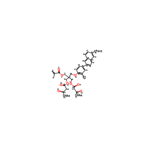 C=C(C)C(=O)OCC(COC(=O)CC(=O)OC)(COC(=O)CC(=O)OC)COc1ccc(-c2ccc3cc(CCCCC)ccc3c2)cc1CC